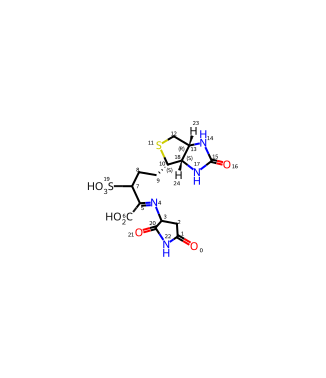 O=C1CC(N=C(C(=O)O)C(CC[C@@H]2SC[C@@H]3NC(=O)N[C@@H]32)S(=O)(=O)O)C(=O)N1